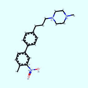 Cc1ccc(-c2ccc(CCCN3CCN(C)CC3)cc2)cc1[N+](=O)[O-]